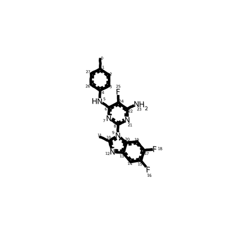 Cc1ccc(Nc2nc(-n3c(C)nc4cc(F)c(F)cc43)nc(N)c2F)cc1